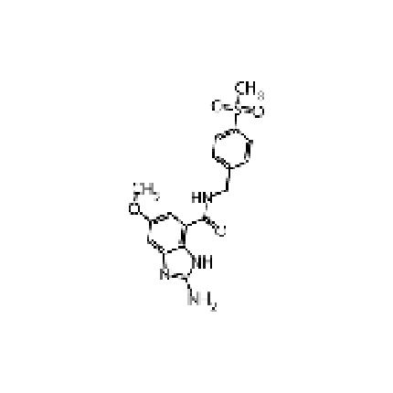 COc1cc(C(=O)NCc2ccc(S(C)(=O)=O)cc2)c2[nH]c(N)nc2c1